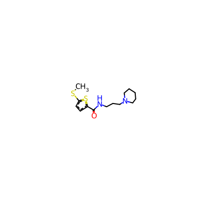 CSc1ccc(C(=O)NCCCN2CCCCC2)s1